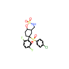 O=S1(=O)NCC2CC(c3cc(F)ccc3F)(S(=O)(=O)c3ccc(Cl)cc3)CCC2O1